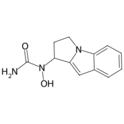 NC(=O)N(O)C1CCn2c1cc1ccccc12